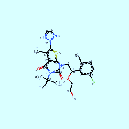 CCc1ccc(F)cc1[C@H](Cn1c(=O)n(C(C)(C)C(=O)O)c(=O)c2c(C)c(-n3nccn3)sc21)OCCO